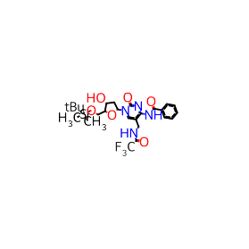 CC(C)(C)[Si](C)(C)OCC1OC(n2cc(CNC(=O)C(F)(F)F)c(NC(=O)c3ccccc3)nc2=O)CC1O